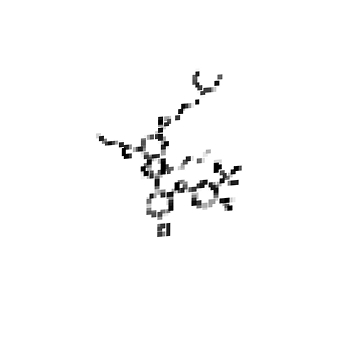 [CH2]CCOc1cc(OCCCN(CC)CC)cc2c1nc(-c1ccc(Cl)cc1Oc1ccc(Cl)c(C(F)(F)F)c1)n2CCCC